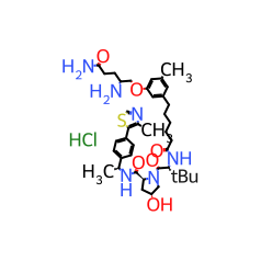 Cc1cc(CCCCCC(=O)N[C@H](C(=O)N2C[C@H](O)C[C@H]2C(=O)N[C@@H](C)c2ccc(-c3scnc3C)cc2)C(C)(C)C)cc(OC[C@@H](N)CCC(N)=O)c1.Cl